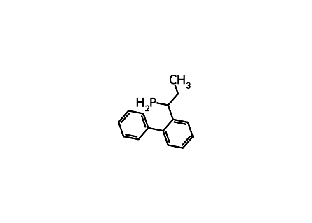 CCC(P)c1ccccc1-c1ccccc1